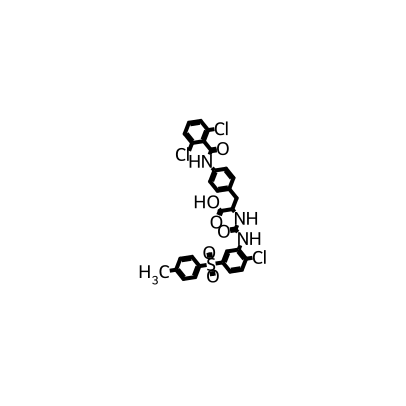 Cc1ccc(S(=O)(=O)c2ccc(Cl)c(NC(=O)NC(Cc3ccc(NC(=O)c4c(Cl)cccc4Cl)cc3)C(=O)O)c2)cc1